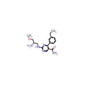 CCc1cccc(-c2nc(NC[C@@H](N)COC)ncc2C(N)=O)c1